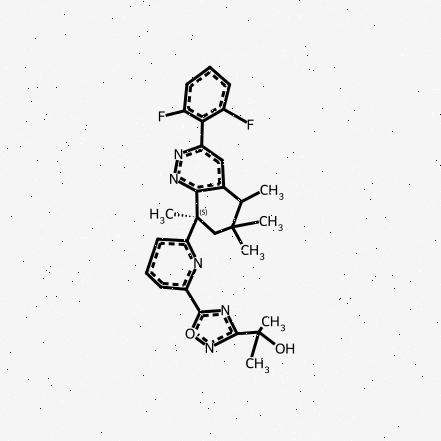 CC1c2cc(-c3c(F)cccc3F)nnc2[C@](C)(c2cccc(-c3nc(C(C)(C)O)no3)n2)CC1(C)C